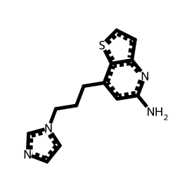 Nc1cc(CCCn2ccnc2)c2sccc2n1